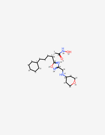 O=C(C[C@@H](CCCC1CCCCC1)c1nc(CNC2CCOCC2)no1)NO